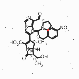 C[C@@H](O)[C@H]1C(=O)N2C(C(=O)O)=C(c3cn4cnc(C(=O)[C@@H]5CCCN5C(=O)OCc5ccc([N+](=O)[O-])cc5)c4s3)[C@H](C)[C@H]12